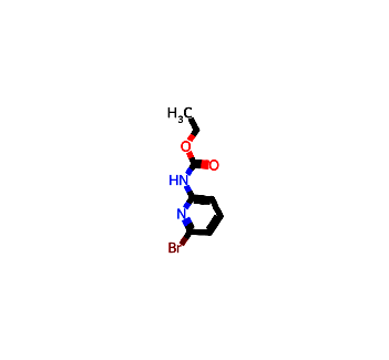 CCOC(=O)Nc1cccc(Br)n1